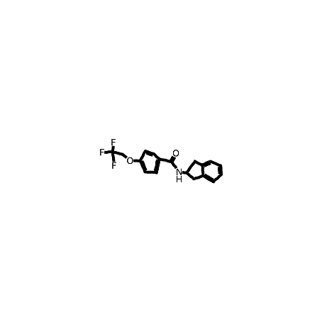 O=C(NC1Cc2ccccc2C1)c1ccc(OCC(F)(F)F)cc1